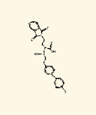 O=C(O)[C@H](CCN1C(=O)c2ccccc2C1=O)[C@H](O)CCc1ccc(-c2ccc(F)cc2)cc1